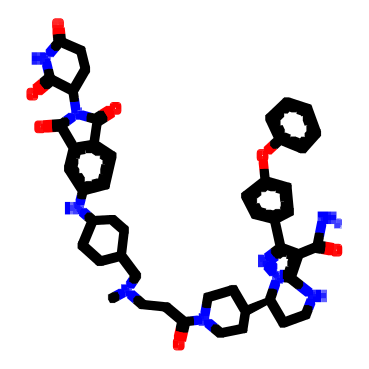 CN(CCC(=O)N1CCC([C@@H]2CCNc3c(C(N)=O)c(-c4ccc(Oc5ccccc5)cc4)nn32)CC1)CC1CCC(Nc2ccc3c(c2)C(=O)N(C2CCC(=O)NC2=O)C3=O)CC1